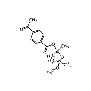 CO[Si](C)(C)O[Si](C)(C)OC(=O)c1ccc(C(C)=O)cc1